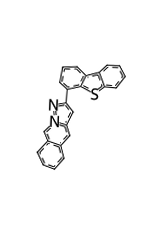 c1ccc2cn3nc(-c4cccc5c4sc4ccccc45)cc3cc2c1